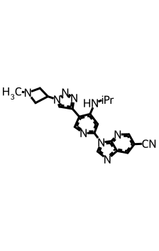 CC(C)Nc1cc(-n2cnc3cc(C#N)cnc32)ncc1-c1cn(C2CN(C)C2)nn1